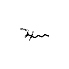 CC(C)(C)OC(=O)C(F)(F)CCCCI